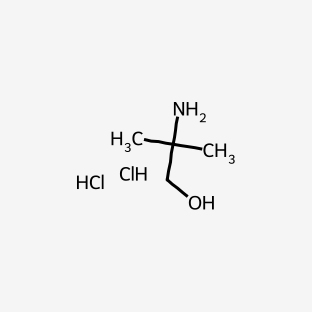 CC(C)(N)CO.Cl.Cl